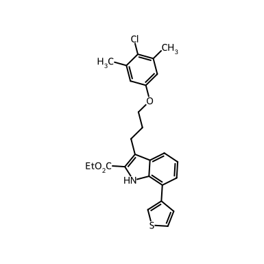 CCOC(=O)c1[nH]c2c(-c3ccsc3)cccc2c1CCCOc1cc(C)c(Cl)c(C)c1